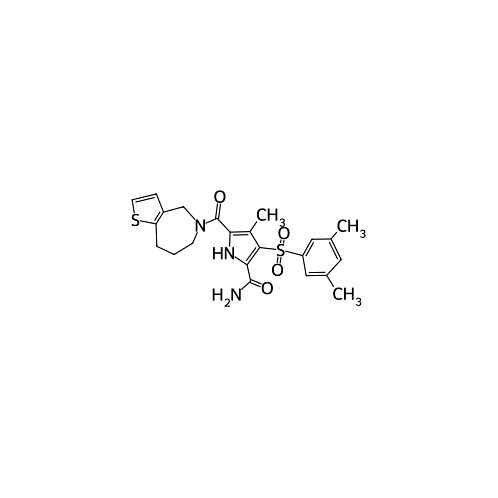 Cc1cc(C)cc(S(=O)(=O)c2c(C(N)=O)[nH]c(C(=O)N3CCCc4sccc4C3)c2C)c1